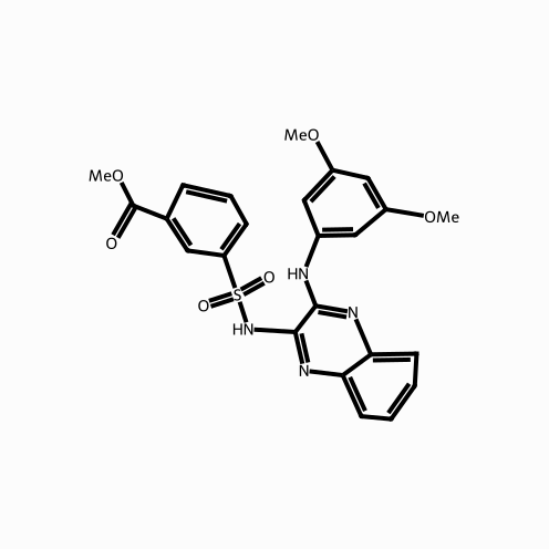 COC(=O)c1cccc(S(=O)(=O)Nc2nc3ccccc3nc2Nc2cc(OC)cc(OC)c2)c1